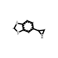 c1cc2c(cc1C1CN1)OCO2